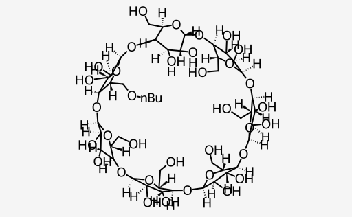 CCCCOC[C@H]1O[C@@H]2O[C@H]3[C@H](O)[C@@H](O)[C@@H](O[C@H]4[C@H](O)[C@@H](O)[C@@H](O[C@H]5[C@H](O)[C@@H](O)[C@@H](O[C@H]6[C@H](O)[C@@H](O)[C@@H](O[C@H]7[C@H](O)[C@@H](O)[C@@H](O[C@H]8[C@H](O)[C@@H](O)[C@@H](O[C@H]1[C@H](O)[C@H]2O)O[C@@H]8CO)O[C@@H]7CO)O[C@@H]6CO)O[C@@H]5CO)O[C@@H]4CO)O[C@@H]3CO